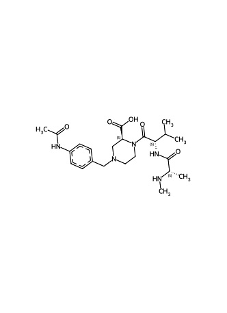 CN[C@@H](C)C(=O)N[C@H](C(=O)N1CCN(Cc2ccc(NC(C)=O)cc2)C[C@H]1C(=O)O)C(C)C